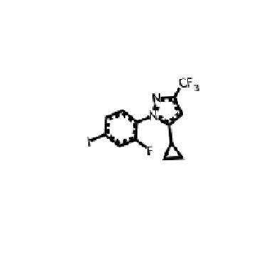 Fc1cc(I)ccc1-n1nc(C(F)(F)F)cc1C1CC1